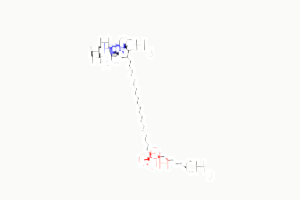 CCCCCCCCOC(CCCCCCCCCCCCCCCCCCCCC1CC(C)(C)NC(C)(C)C1)C(=O)O